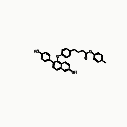 Cc1ccc(OC(=O)CCCc2ccc(Oc3c(-c4ccc(O)cc4)ccc4cc(O)ccc34)cc2)cc1